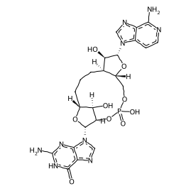 Nc1nc2c(ncn2[C@@H]2O[C@@H]3CCC[C@H]4[C@@H](O)[C@H](n5cnc6c(N)nccc65)O[C@@H]4COP(=O)(O)O[C@@H]2[C@@H]3O)c(=O)[nH]1